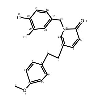 COc1ccc(CCc2ccc(=O)n(Cc3ccc(Cl)c(F)c3)c2)cc1